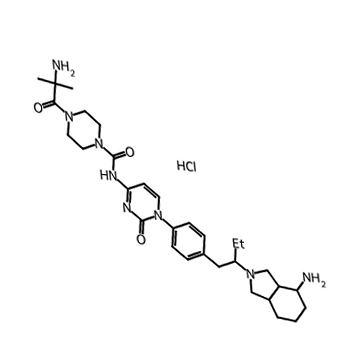 CCC(Cc1ccc(-n2ccc(NC(=O)N3CCN(C(=O)C(C)(C)N)CC3)nc2=O)cc1)N1CC2CCCC(N)C2C1.Cl